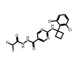 O=C(NNC(=O)C(F)F)c1cnc(NC2(c3c(Cl)cccc3Cl)CCC2)nc1